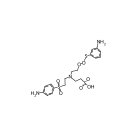 Nc1ccc(S(=O)(=O)CCN(CCOOSc2cccc(N)c2)CCS(=O)(=O)O)cc1